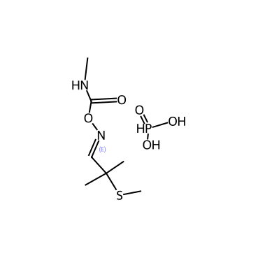 CNC(=O)O/N=C/C(C)(C)SC.O=[PH](O)O